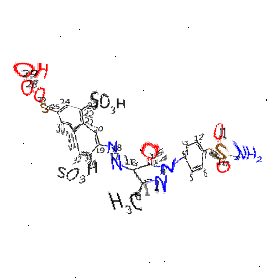 CC1=NN(c2ccc(S(N)(=O)=O)cc2)C(=O)C1N=Nc1cc2c(S(=O)(=O)O)cc(SOOO)cc2cc1S(=O)(=O)O